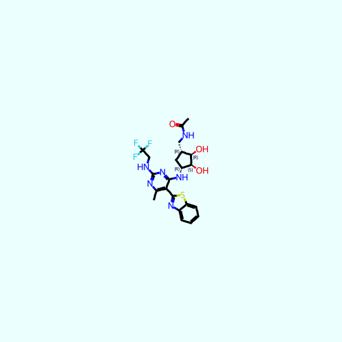 CC(=O)NC[C@H]1C[C@@H](Nc2nc(NCC(F)(F)F)nc(C)c2-c2nc3ccccc3s2)[C@H](O)[C@@H]1O